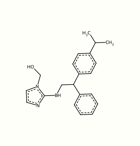 CC(C)c1ccc(C(CBc2nccn2CO)c2ccccc2)cc1